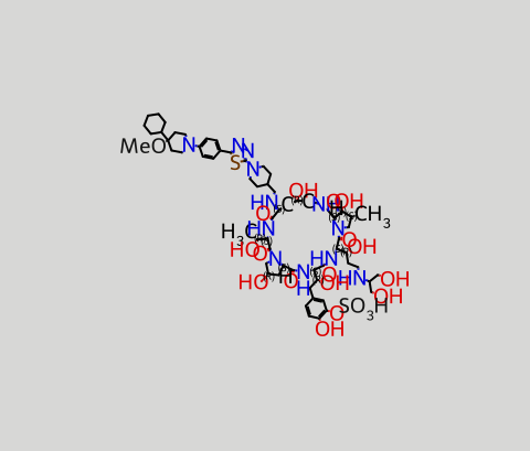 COC1(C2CCCCC2)CCN(c2ccc(-c3nnc(N4CCC(CN[C@H]5C[C@@H](O)CNC(=O)[C@@H]6[C@@H](O)[C@@H](C)CN6C(=O)[C@H]([C@H](O)CCNC(CO)CO)NC(=O)[C@H]([C@H](O)Cc6ccc(O)c(OS(=O)(=O)O)c6)NC(=O)[C@@H]6C[C@@H](O)CN6C(=O)[C@H]([C@@H](C)O)NC5=O)CC4)s3)cc2)CC1